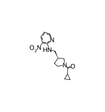 O=C(C1CC1)N1CC[C@@H](CNc2ncccc2[N+](=O)[O-])C1